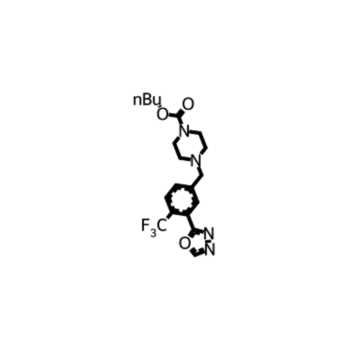 CCCCOC(=O)N1CCN(Cc2ccc(C(F)(F)F)c(-c3nnco3)c2)CC1